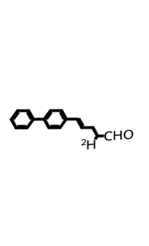 [2H]C(C=O)CC=Cc1ccc(-c2ccccc2)cc1